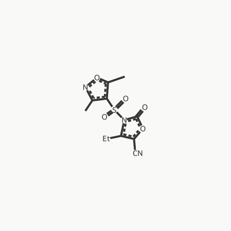 CCc1c(C#N)oc(=O)n1S(=O)(=O)c1c(C)noc1C